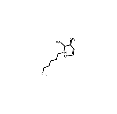 C=C(/C=C\C)C(C)NCCCCCN